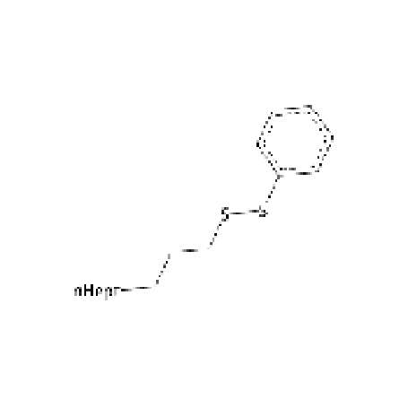 CCCCCCCCCCSSc1ccccc1